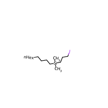 CCCCCCCCCC[Si](C)(C)CCCI